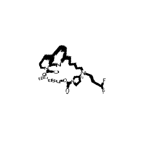 CC(C)(C)OC(=O)N1CC[C@H](N(CCCCCc2ccc3c(n2)N(C(=O)OC(C)(C)C)CCC3)CCC(F)F)C1